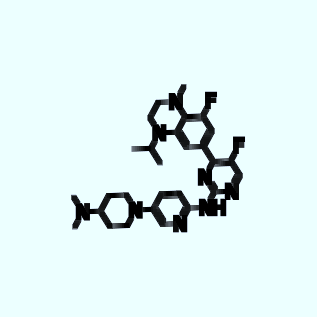 CC(C)N1CCN(C)c2c(F)cc(-c3nc(Nc4ccc(N5CCC(N(C)C)CC5)cn4)ncc3F)cc21